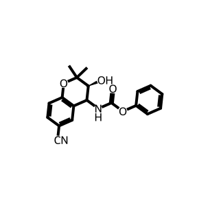 CC1(C)Oc2ccc(C#N)cc2C(NC(=O)Oc2ccccc2)[C@@H]1O